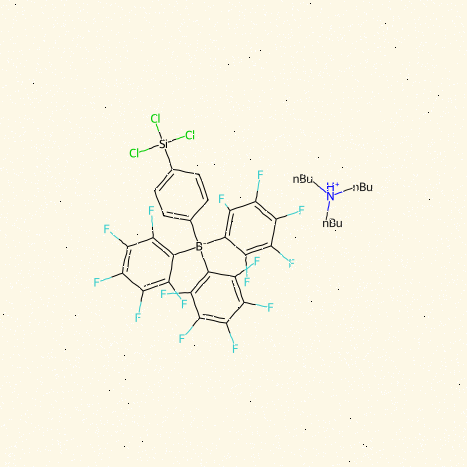 CCCC[NH+](CCCC)CCCC.Fc1c(F)c(F)c([B-](c2ccc([Si](Cl)(Cl)Cl)cc2)(c2c(F)c(F)c(F)c(F)c2F)c2c(F)c(F)c(F)c(F)c2F)c(F)c1F